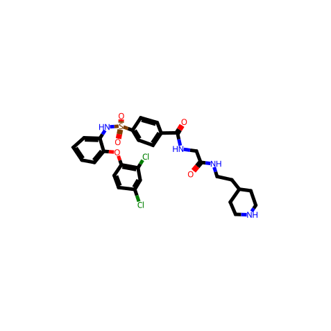 O=C(CNC(=O)c1ccc(S(=O)(=O)Nc2ccccc2Oc2ccc(Cl)cc2Cl)cc1)NCCC1CCNCC1